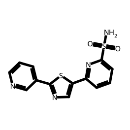 NS(=O)(=O)c1cccc(-c2cnc(-c3cccnc3)s2)n1